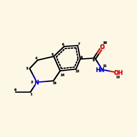 CCN1CCc2ccc(C(=O)NO)cc2C1